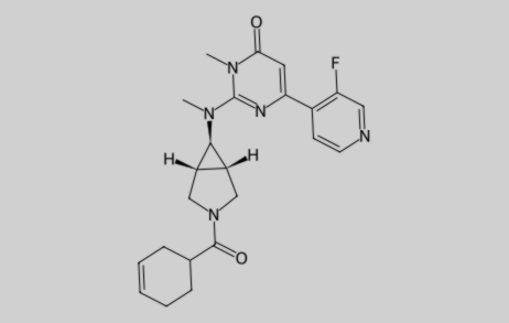 CN(c1nc(-c2ccncc2F)cc(=O)n1C)[C@H]1[C@@H]2CN(C(=O)C3CC=CCC3)C[C@@H]21